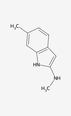 CNc1cc2ccc(C)cc2[nH]1